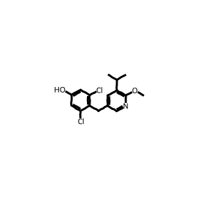 COc1ncc(Cc2c(Cl)cc(O)cc2Cl)cc1C(C)C